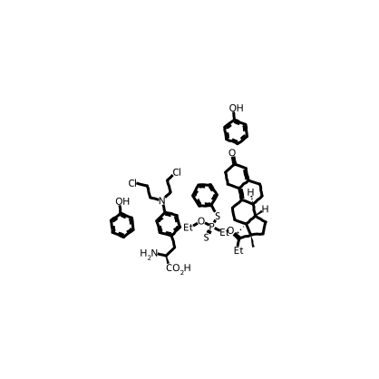 CCC(=O)[C@@]1(C)CC[C@H]2[C@@H]3CCC4=CC(=O)CCC4=C3CC[C@@]21C.CCOP(=S)(CC)Sc1ccccc1.N[C@@H](Cc1ccc(N(CCCl)CCCl)cc1)C(=O)O.Oc1ccccc1.Oc1ccccc1